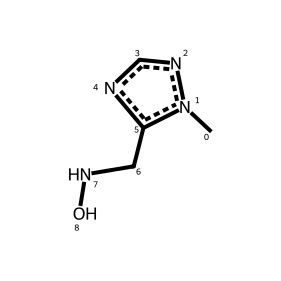 Cn1ncnc1CNO